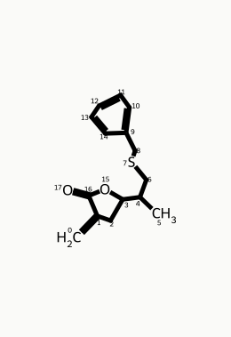 C=C1CC(C(C)CSCc2ccccc2)OC1=O